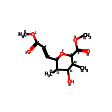 COC(=O)/C=C/C1OC(C(=O)OC)C(C)C(O)C1C